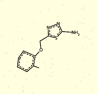 Cc1ccccc1OCc1nnc(N)s1